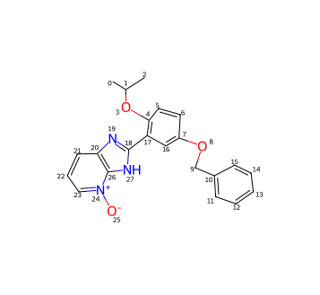 CC(C)Oc1ccc(OCc2ccccc2)cc1-c1nc2ccc[n+]([O-])c2[nH]1